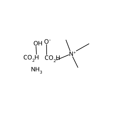 C[N+](C)(C)C.N.O=C(O)O.O=C([O-])O